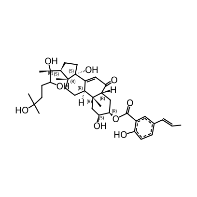 CC=Cc1ccc(O)c(C(=O)O[C@@H]2C[C@H]3C(=O)C=C4[C@H](CC[C@]5(C)[C@@H]([C@@](C)(O)C(O)CCC(C)(C)O)CC[C@@]45O)[C@@]3(C)C[C@@H]2O)c1